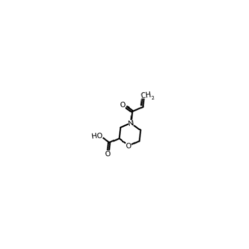 C=CC(=O)N1CCOC(C(=O)O)C1